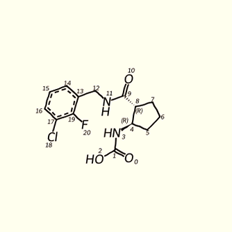 O=C(O)N[C@@H]1CCC[C@H]1C(=O)NCc1cccc(Cl)c1F